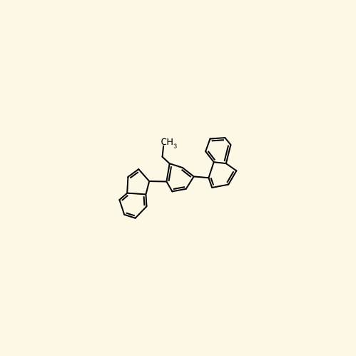 CCc1cc(-c2cccc3ccccc23)ccc1C1C=Cc2ccccc21